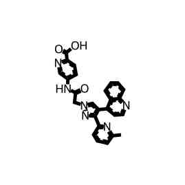 Cc1cccc(-c2nn(CC(=O)Nc3ccc(C(=O)O)nc3)cc2-c2ccnc3ccccc23)n1